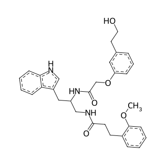 COc1ccccc1CCC(=O)NCC(Cc1c[nH]c2ccccc12)NC(=O)COc1cccc(CCO)c1